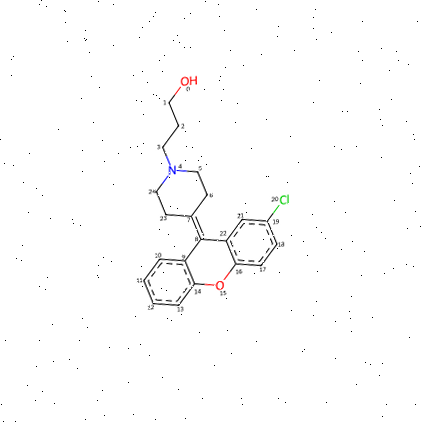 OCCCN1CCC(=C2c3ccccc3Oc3ccc(Cl)cc32)CC1